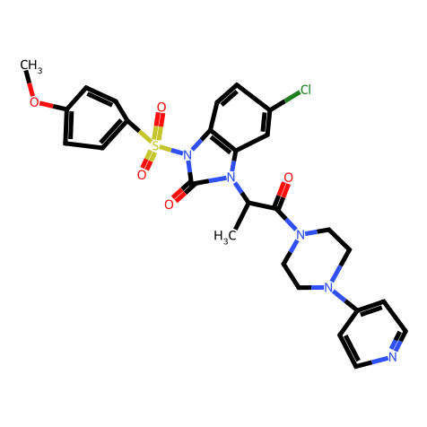 COc1ccc(S(=O)(=O)n2c(=O)n(C(C)C(=O)N3CCN(c4ccncc4)CC3)c3cc(Cl)ccc32)cc1